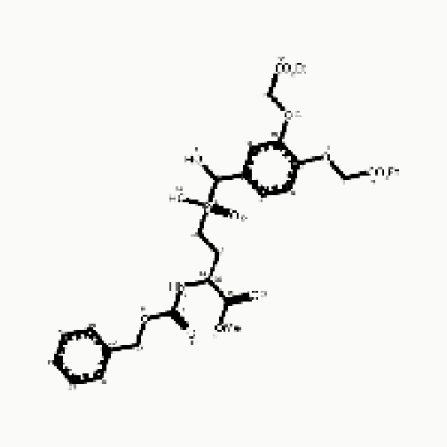 CCOC(=O)COc1ccc(C(O)P(=O)(O)CC[C@H](NC(=O)OCc2ccccc2)C(=O)OC)cc1OCC(=O)OCC